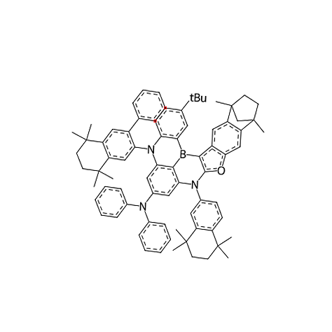 CC(C)(C)c1ccc2c(c1)B1c3c(cc(N(c4ccccc4)c4ccccc4)cc3N(c3ccc4c(c3)C(C)(C)CCC4(C)C)c3oc4cc5c(cc4c31)C1(C)CCC5(C)C1)N2c1cc2c(cc1-c1ccccc1)C(C)(C)CCC2(C)C